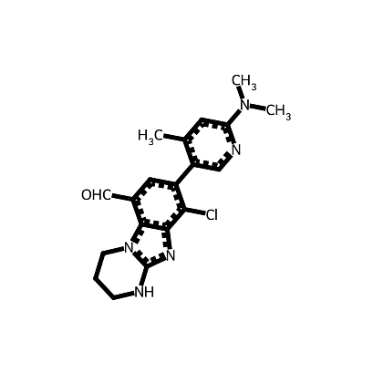 Cc1cc(N(C)C)ncc1-c1cc(C=O)c2c(nc3n2CCCN3)c1Cl